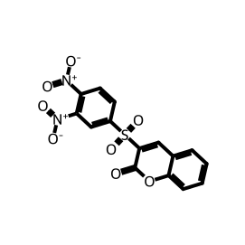 O=c1oc2ccccc2cc1S(=O)(=O)c1ccc([N+](=O)[O-])c([N+](=O)[O-])c1